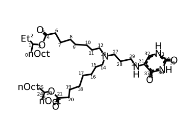 CCCCCCCCC(CC)OC(=O)CCCCCCCN(CCCCCCCC(=O)OC(CCCCCCCC)CCCCCCCC)CCCNc1c[nH]c(=O)[nH]c1=O